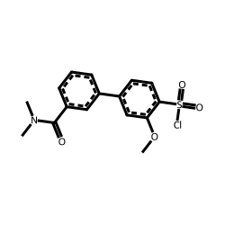 COc1cc(-c2cccc(C(=O)N(C)C)c2)ccc1S(=O)(=O)Cl